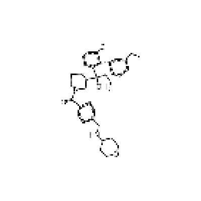 [CH2]CCC(O)(c1cccc(Cl)c1-c1cccc(CC)c1)C1CCCN(C(=O)c2ccc(CNC3CCOCC3)cc2)C1